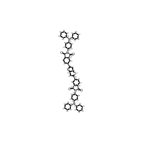 O=C1c2ccc(-c3cc4sc(-c5ccc6c(c5)C(=O)N(c5ccc(N(c7ccccc7)c7ccccc7)cc5)C6=O)cc4s3)cc2C(=O)N1c1ccc(N(c2ccccc2)c2ccccc2)cc1